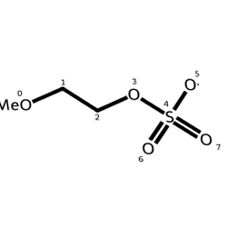 COCCOS([O])(=O)=O